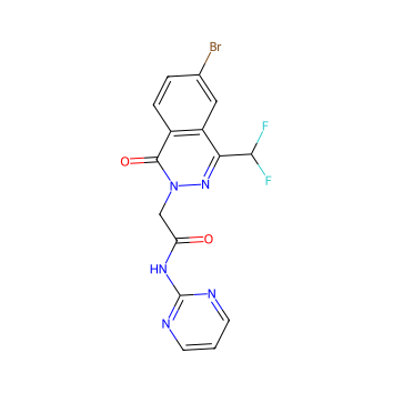 O=C(Cn1nc(C(F)F)c2cc(Br)ccc2c1=O)Nc1ncccn1